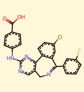 O=C(O)c1ccc(Nc2ncc3c(n2)-c2ccc(Cl)cc2C(c2cccc(F)c2)=NC3)cc1